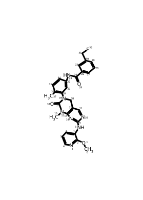 COc1ncccc1Nc1ncc2c(n1)N(C)C(=O)N(c1cc(NC(=O)c3cccc(CF)c3)ccc1C)C2